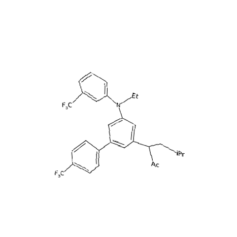 CCN(c1cc(-c2ccc(C(F)(F)F)cc2)cc(C(CC(C)C)C(C)=O)c1)c1cccc(C(F)(F)F)c1